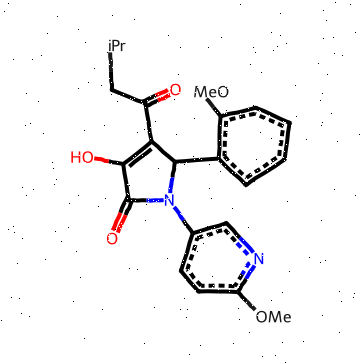 COc1ccc(N2C(=O)C(O)=C(C(=O)CC(C)C)C2c2ccccc2OC)cn1